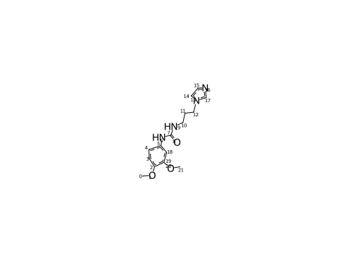 COc1ccc(NC(=O)NCCCn2ccnc2)cc1OC